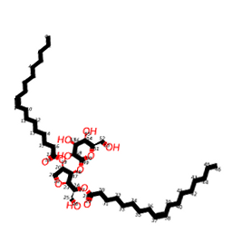 CCCCCCCC/C=C\CCCCCCCC(=O)O[C@H]1CO[C@H]([C@@H](CO)OC(=O)CCCCCCC/C=C\CCCCCCCC)[C@@H]1OC1O[C@H](CO)[C@@H](O)[C@H](O)[C@@H]1O